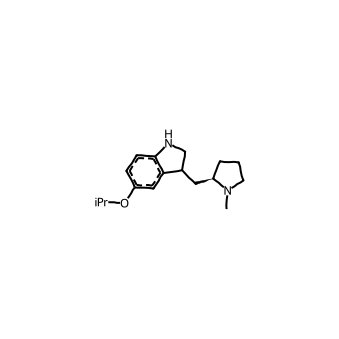 CC(C)Oc1ccc2c(c1)C(C[C@H]1CCCN1C)CN2